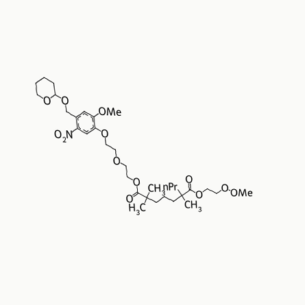 CCCC(C)(CCCC(C)(C)C(=O)OCCOCCOc1cc([N+](=O)[O-])c(COC2CCCCO2)cc1OC)C(=O)OCCOOC